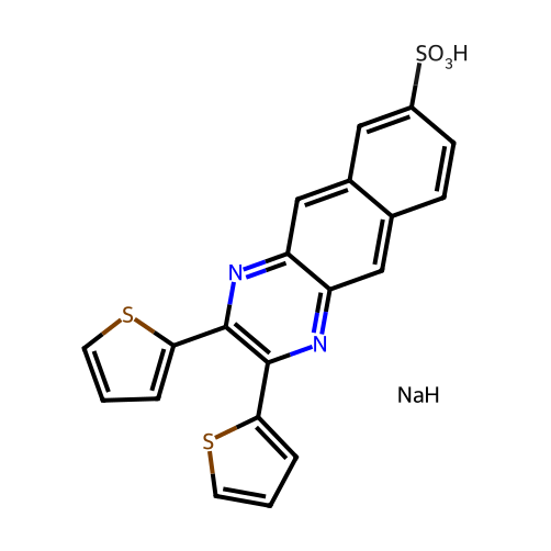 O=S(=O)(O)c1ccc2cc3nc(-c4cccs4)c(-c4cccs4)nc3cc2c1.[NaH]